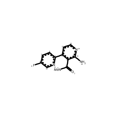 CNC(=O)c1c(-c2ccc(F)cn2)ccnc1N